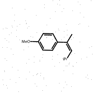 COc1ccc(/C(C)=C\C(C)C)cc1